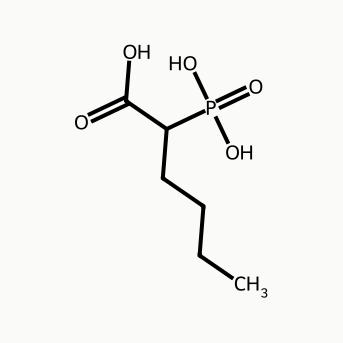 CCCCC(C(=O)O)P(=O)(O)O